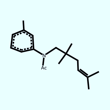 CC(=O)N(CC(C)(C)CC=C(C)C)c1cccc(C)c1